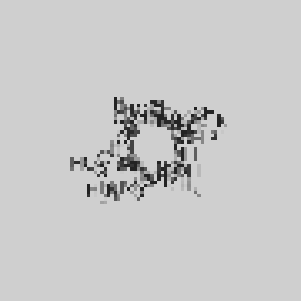 C[C@@H](O)[C@@H]1NC(=O)[C@@H](NC(=O)OC(C)(C)C)C[C@@H](O)CNC(=O)[C@@H]2[C@@H](O)[C@@H](C)CN2C(=O)[C@H]([C@H](O)CC(N)=O)NC(=O)[C@H]([C@H](O)Cc2ccc(O)c(OCCN)c2)NC(=O)[C@@H]2C[C@@H](O)CN2C1=O